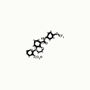 O=C(O)c1cccnc1N1CCOc2c(C(=O)Nc3ccc(OC(F)(F)F)cc3)cccc21